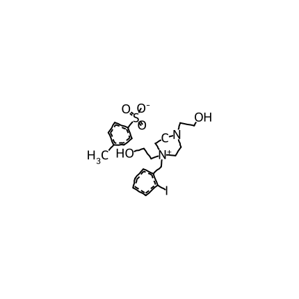 Cc1ccc(S(=O)(=O)[O-])cc1.OCCN1CC[N+](CCO)(Cc2ccccc2I)CC1